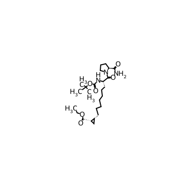 CCOC(=O)[C@H]1C[C@H]1CCCCCCC[C@H](NC(=O)OC(C)(C)C)C(=O)N1CCC[C@H]1C(N)=O